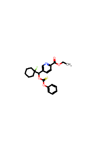 CCOC(=O)c1ccc(C(OC(=S)Oc2ccccc2)C2(F)CCCCC2)cn1